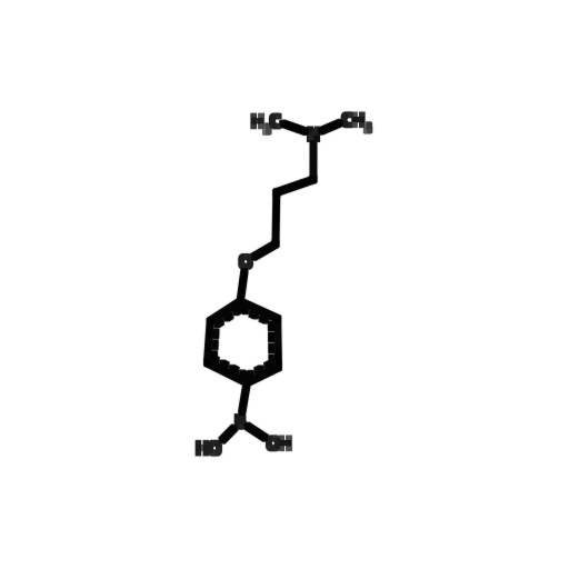 CN(C)CCCOc1ccc(B(O)O)cc1